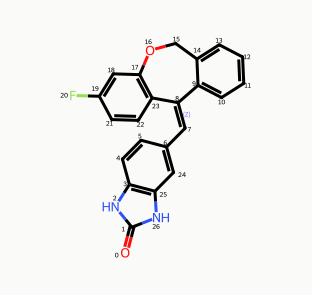 O=c1[nH]c2ccc(/C=C3/c4ccccc4COc4cc(F)ccc43)cc2[nH]1